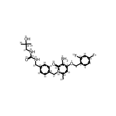 Bc1c(OCc2ccc(F)cc2F)cc(C)n(Cc2ccc(CNC(=O)NCC(C)(C)O)cc2)c1=O